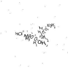 Cl.O.O.O.O.O.O.[MgH2].[MgH2]